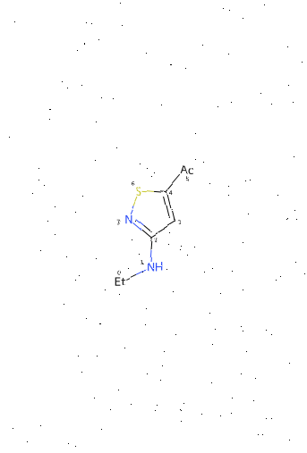 CCNc1cc(C(C)=O)sn1